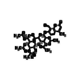 COC(=O)C1O[C@@H](Oc2ccc3c(C)cc(=O)oc3c2C=O)C(OC(C)=O)C(OC(C)=O)[C@@H]1O[C@H]1OC(COC(C)=O)[C@@H](OC(C)=O)C(OC(C)=O)C1N=[N+]=[N-]